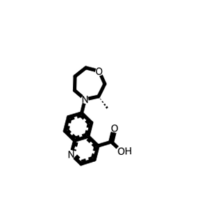 C[C@H]1COCCCN1c1ccc2nccc(C(=O)O)c2c1